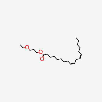 CCCCC/C=C\C/C=C\CCCCCCCC(=O)OCCCOCC